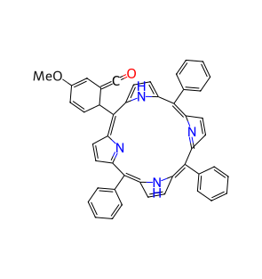 COC1=CC(=C=O)C(c2c3nc(c(-c4ccccc4)c4ccc([nH]4)c(-c4ccccc4)c4nc(c(-c5ccccc5)c5ccc2[nH]5)C=C4)C=C3)C=C1